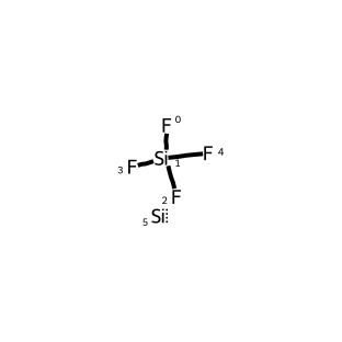 F[Si](F)(F)F.[Si]